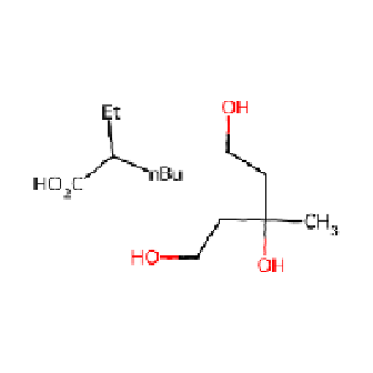 CC(O)(CCO)CCO.CCCCC(CC)C(=O)O